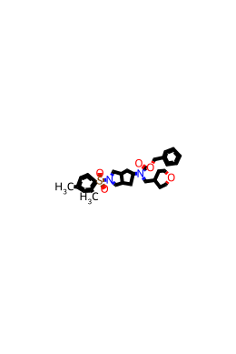 Cc1ccc(S(=O)(=O)N2CC3CC(N(CC4CCOCC4)C(=O)OCc4ccccc4)CC3C2)c(C)c1